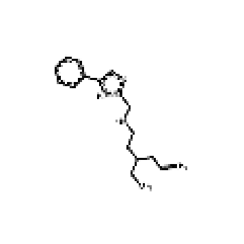 C=CCC(CC)CCNCc1ncc(-c2ccccc2)[nH]1